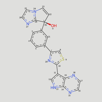 O[C@]1(c2cccc(-c3csc(-c4c[nH]c5nccnc45)n3)c2)C=Cn2ccnc21